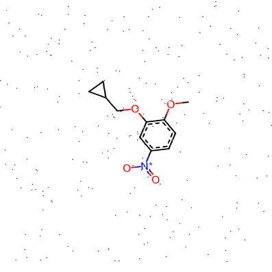 COc1ccc([N+](=O)[O-])cc1OCC1CC1